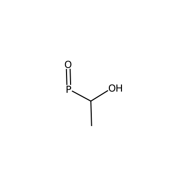 CC(O)P=O